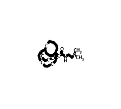 CN(C)CCNC(=O)OC12CCCCCC(CCC1)C1CCCCCCCC2CCCCC1